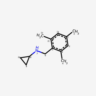 Cc1cc(C)c(CNC2CC2)c(C)c1